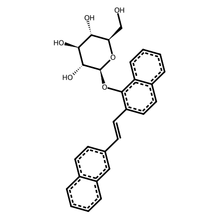 OC[C@H]1O[C@@H](Oc2c(/C=C/c3ccc4ccccc4c3)ccc3ccccc23)[C@H](O)[C@@H](O)[C@@H]1O